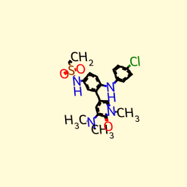 C=CS(=O)(=O)Nc1ccc(Nc2ccc(Cl)cc2)c(-c2cc(N(C)C)c(=O)n(C)c2)c1